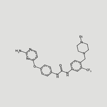 CCN1CCN(Cc2ccc(NC(=O)Nc3ccc(Oc4ccnc(N)n4)cc3)cc2C(F)(F)F)CC1